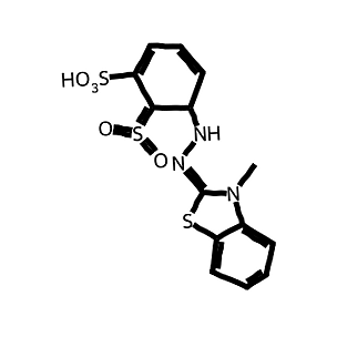 Cn1c(=NNC2C=CC=C(S(=O)(=O)O)C2=S(=O)=O)sc2ccccc21